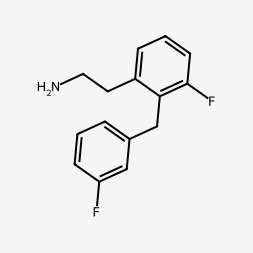 NCCc1cccc(F)c1Cc1cccc(F)c1